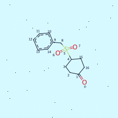 O=C1CCC(S(=O)(=O)Cc2ccccc2)CC1